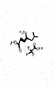 CC(C)CC(N)C=CC(=O)O.O=C(O)C(F)(F)F